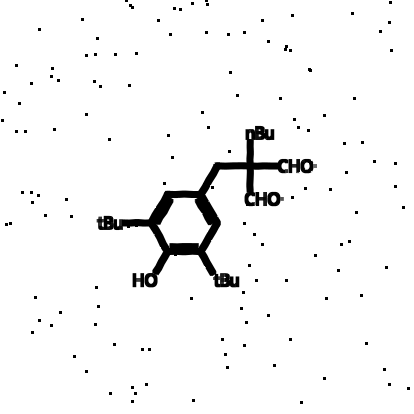 CCCCC([C]=O)([C]=O)Cc1cc(C(C)(C)C)c(O)c(C(C)(C)C)c1